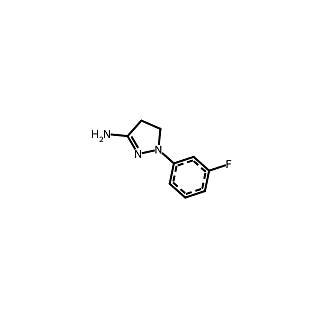 NC1=NN(c2cccc(F)c2)CC1